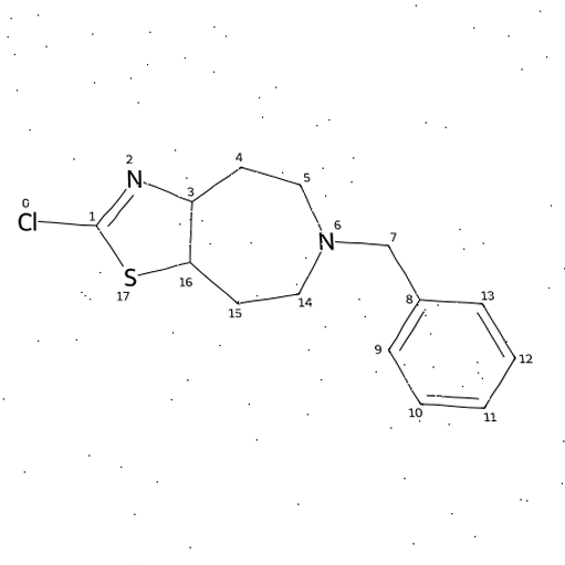 ClC1=NC2CCN(Cc3ccccc3)CCC2S1